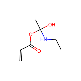 C=CC(=O)OC(C)(O)NCC